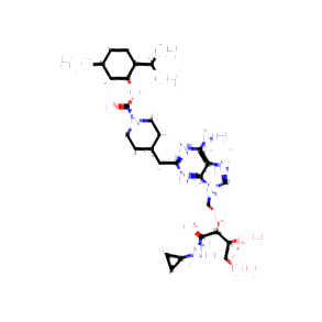 CC1CCC(C(C)C)C(OC(=O)N2CCC(Cc3nc(N)c4ncn(CO[C@H](C(=O)NC5CC5)C(O)CO)c4n3)CC2)C1